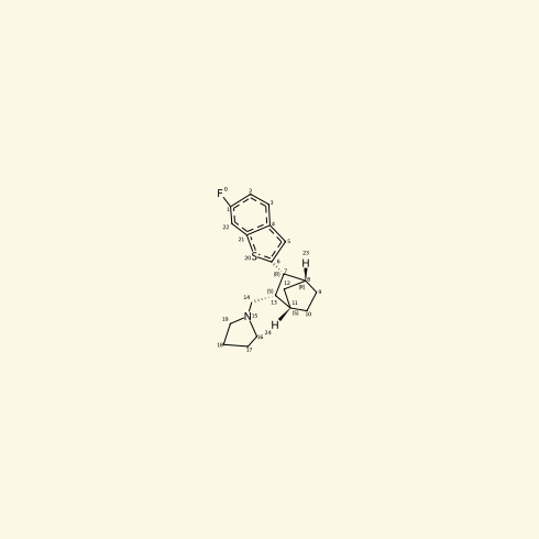 Fc1ccc2cc([C@@H]3[C@@H]4CC[C@@H](C4)[C@@H]3CN3CCCC3)sc2c1